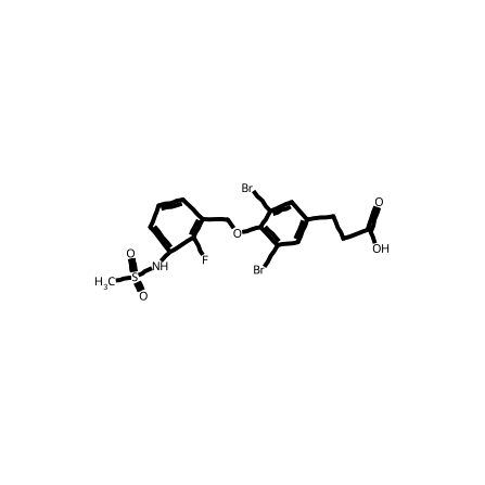 CS(=O)(=O)Nc1cccc(COc2c(Br)cc(CCC(=O)O)cc2Br)c1F